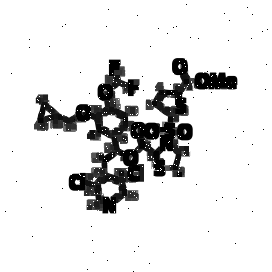 COC(=O)c1ccc(S(=O)(=O)N2CCSC2C(=O)O[C@@H](Cc2c(Cl)cncc2Cl)c2ccc(OC(F)F)c(OCC3CC3)c2)s1